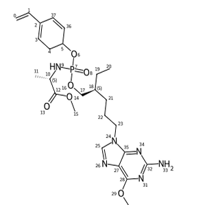 C=CC1=CCC(OP(=O)(N[C@@H](C)C(=O)OC)OC[C@@H](CC)CCCn2cnc3c(OC)nc(N)nc32)C=C1